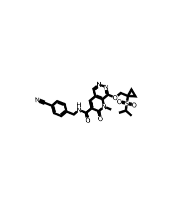 CC(C)S(=O)(=O)C1(COc2nncc3cc(C(=O)NCc4ccc(C#N)cc4)c(=O)n(C)c23)CC1